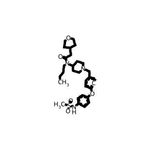 CCCCN(C(=O)CC1CCOCC1)C1CCN(Cc2ccc(Oc3ccc(NS(C)(=O)=O)cc3)cc2)CC1